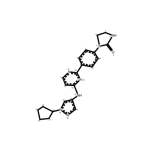 O=C1NCCN1c1ccc(-c2nccc(Nc3cnn(C4CCCC4)c3)n2)cc1